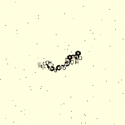 CC(C)(C)CCN1CCC(OC2CCN(CC(=O)N3CCN(C(=O)c4cc(Cc5n[nH]c(=O)c6ccccc56)ccc4F)CC3)CC2)CC1